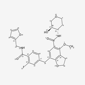 COc1c(C(=O)N[C@H]2CCOC[C@@H]2O)cc(Cc2ccc(C(=O)NCc3ccco3)c(F)c2)c2c1CCO2